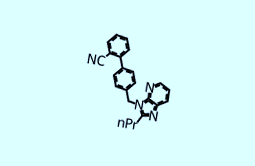 CCCc1nc2cccnc2n1Cc1ccc(-c2ccccc2C#N)cc1